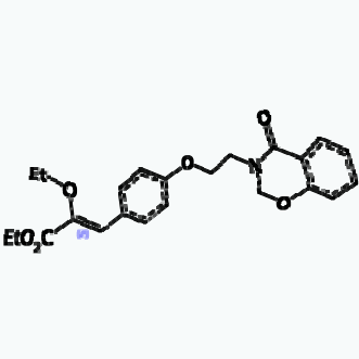 CCOC(=O)/C(=C/c1ccc(OCCN2COc3ccccc3C2=O)cc1)OCC